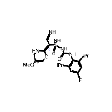 CO[C@H]1CN/C(=C(\C=N)S(=N)(=O)NC(=O)Nc2c(C(C)C)cc(F)cc2C(C)C)OC1